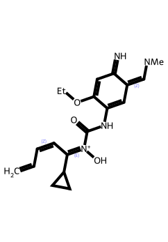 C=C/C=C\C(C1CC1)=[N+](\O)C(=O)NC1=C/C(=C/NC)C(=N)C=C1OCC